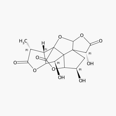 C[C@H]1C(=O)OC2[C@H]1C13OC4OC(=O)[C@H](O)C45C[C@@H](O)C(OC1=O)C35[C@H]2O